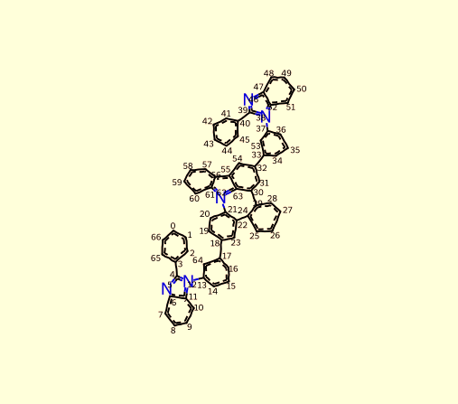 c1ccc(-c2nc3ccccc3n2-c2cccc(-c3ccc4c(c3)-c3ccccc3-c3cc(-c5cccc(-n6c(-c7ccccc7)nc7ccccc76)c5)cc5c6ccccc6n-4c35)c2)cc1